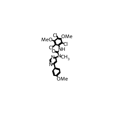 COc1ccc(-c2cc(N(C)C(=O)Nc3c(Cl)c(OC)c(Cl)c(OC)c3Cl)ncn2)cc1